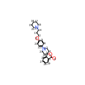 O=C1OC2(CCN(c3ccc(OCCCN4CCCCC4)cc3)CC2)c2ccccc21